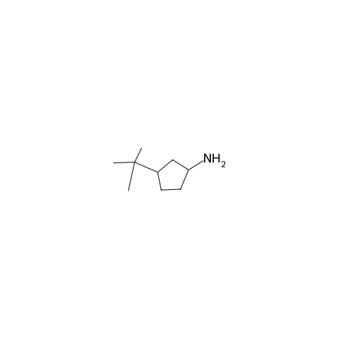 CC(C)(C)C1CCC(N)C1